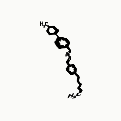 CCCCCCc1ccc(C=NN=Cc2ccc([C@H]3CC[C@H](C)CC3)cc2)cc1